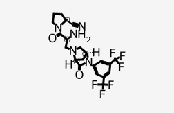 N#C[C@@H]1CCCN1C(=O)[C@@H](N)CN1C[C@@H]2C[C@H]1C(=O)N2c1cc(C(F)(F)F)cc(C(F)(F)F)c1